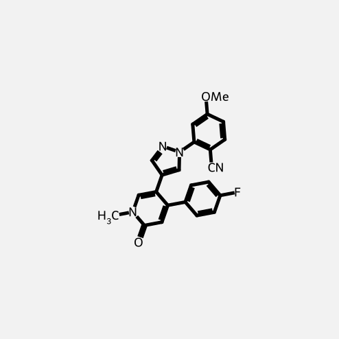 COc1ccc(C#N)c(-n2cc(-c3cn(C)c(=O)cc3-c3ccc(F)cc3)cn2)c1